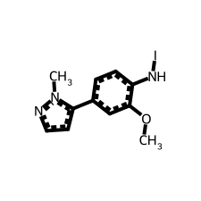 COc1cc(-c2ccnn2C)ccc1NI